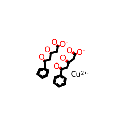 O=C([O-])CC(=O)CC(=O)c1ccccc1.O=C([O-])CC(=O)CC(=O)c1ccccc1.[Cu+2]